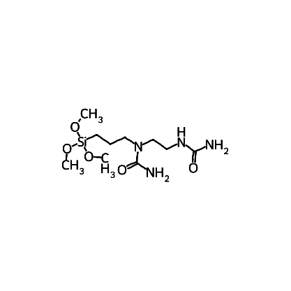 CO[Si](CCCN(CCNC(N)=O)C(N)=O)(OC)OC